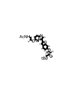 CC(=O)NC[C@@H](C)Oc1ccc2ncc(-c3cc4ccc(O[Si](C)(C)C(=O)CC(C)(C)C)cc4o3)n2n1